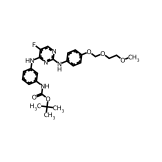 COCCOCOc1ccc(Nc2ncc(F)c(Nc3cccc(NC(=O)OC(C)(C)C)c3)n2)cc1